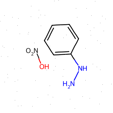 NNc1ccccc1.O=[N+]([O-])O